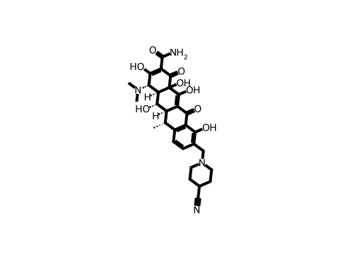 C[C@H]1c2ccc(CN3CCC(C#N)CC3)c(O)c2C(=O)C2=C(O)C3(O)C(=O)C(C(N)=O)=C(O)[C@@H](N(C)C)[C@@H]3[C@@H](O)[C@@H]21